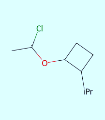 C[C](Cl)OC1CCC1C(C)C